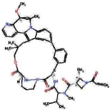 C=CC(=O)N1C[C@H](C(=O)N(C)C(C(=O)N[C@H]2Cc3cccc(c3)-c3ccc4c(c3)c(c(-c3cccnc3[C@H](C)OC)n4CC)CC(C)(C)COC(=O)[C@@H]3CCCN(N3)C2=O)C(C)C)[C@@H]1C